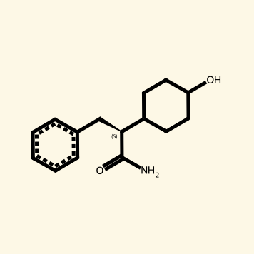 NC(=O)[C@@H](Cc1ccccc1)C1CCC(O)CC1